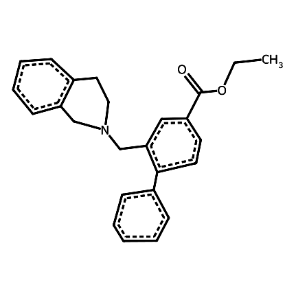 CCOC(=O)c1ccc(-c2ccccc2)c(CN2CCc3ccccc3C2)c1